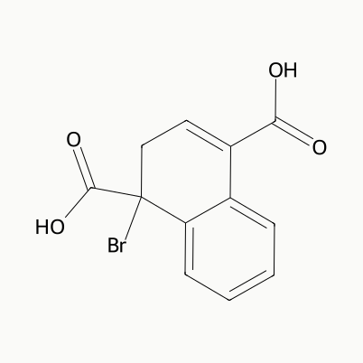 O=C(O)C1=CCC(Br)(C(=O)O)c2ccccc21